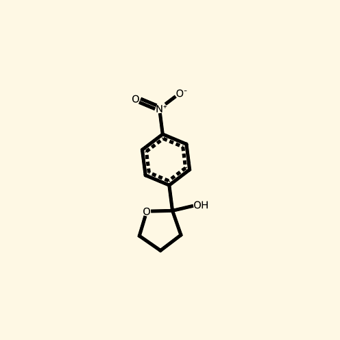 O=[N+]([O-])c1ccc(C2(O)CCCO2)cc1